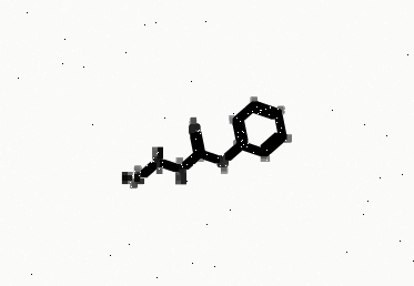 CBNC(=O)Oc1ccccc1